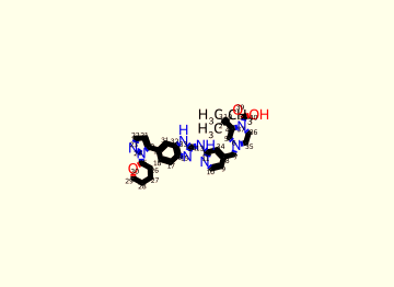 CC(C)(C)C1CN(Cc2ccnc(Nc3nc4ccc(-c5ccnn5C5CCCCO5)cc4[nH]3)c2)CCN1C(=O)O